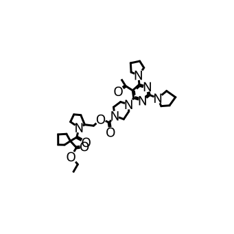 CCOC(=O)C1(C(=O)N2CCCC2COC(=O)N2CCN(c3nc(N4CCCC4)nc(N4CCCC4)c3C(C)=O)CC2)CCCC1